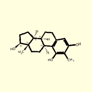 Cc1c(O)cc2c(c1O)[C@H]1CC[C@]3(C)[C@@H](O)CC[C@H]3[C@H]1CC2